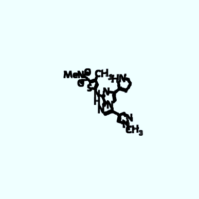 CNS(=O)(=O)c1sc(Nc2nc(C3=CCCNC3)cn3c(-c4cnn(C)c4)cnc23)cc1C